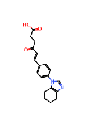 O=C(O)CCC(=O)C=Cc1ccc(-n2cnc3c2CCCC3)cc1